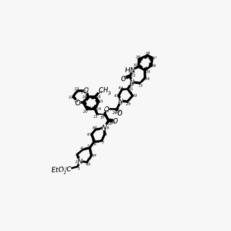 CCOC(=O)CN1CCC(C2CCN(C(=O)[C@@H](Cc3cc(C)c4c(c3)OCCO4)OC(=O)N3CCC(N4CCc5ccccc5NC4=O)CC3)CC2)CC1